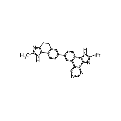 Cc1nc2c([nH]1)-c1ccc(-c3ccc4c(c3)c3cncnc3c3nc(C(C)C)[nH]c43)cc1CC2